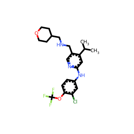 CC(C)c1cc(Nc2ccc(OC(F)(F)F)c(Cl)c2)ncc1CNCC1CCOCC1